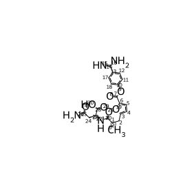 C[C@@H](Cc1ccc(C(=O)Oc2ccc(C(=N)N)cc2)o1)C(=O)N[C@@H](CC(N)=O)C(=O)O